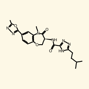 Cc1nnc(-c2ccc3c(c2)N(C)C(=O)[C@@H](NC(=O)c2nnc(CCC(C)C)[nH]2)CO3)o1